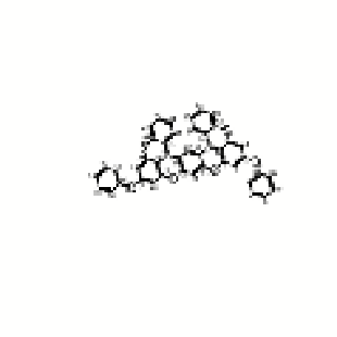 c1ccc(Oc2cc3c4c(c2)Sc2ccccc2B4c2cc4c(cc2O3)Oc2cc(Oc3ccccc3)cc3c2B4c2ccccc2S3)cc1